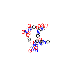 CC(C)(C)N(C(=O)O)[C@H]1CN(c2ccccc2)C[C@@H]1Oc1ccc2c(c1)CN(C1CCC(=O)N(COCC[Si](C)(C)C)C1=O)C2=O.N[C@H]1CN(c2ccccc2)C[C@@H]1Oc1ccc2c(c1)CN(C1CCC(=O)NC1=O)C2=O